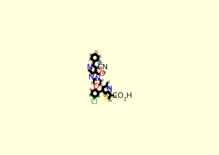 Cc1cc(-c2cc(Cl)ccc2OCCn2c(C)nc3cnc(-c4ccccc4F)c(C#N)c3c2=O)c2scc(C(=O)O)c2n1